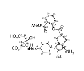 CCCCCCN1CCC(c2c(CC)n(N)c3ccc(C(=O)Oc4ccccc4C(=O)OC)cc23)CC1.O=C(O)CC(O)(CC(=O)O)C(=O)O